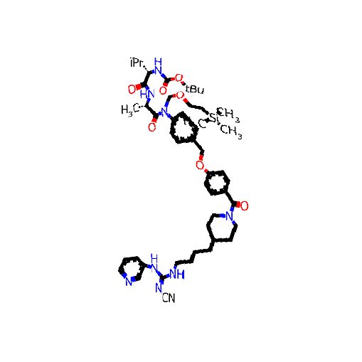 CC(C)[C@H](NC(=O)OC(C)(C)C)C(=O)N[C@@H](C)C(=O)N(COCC[Si](C)(C)C)c1ccc(COc2ccc(C(=O)N3CCC(CCCCN/C(=N\C#N)Nc4cccnc4)CC3)cc2)cc1